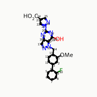 COc1cc(-c2ccccc2F)ccc1Cn1ncc2nc(-n3cc(C(=O)O)cn3)nc(O)c21